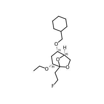 CCO[C@@H]1C[C@H](OCC2CCCCC2)[C@H]2COC1(CCF)O2